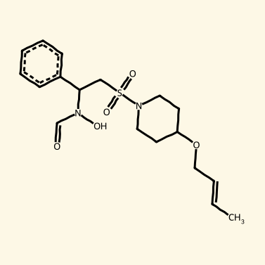 CC=CCOC1CCN(S(=O)(=O)CC(c2ccccc2)N(O)C=O)CC1